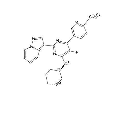 CCOC(=O)c1ccc(-c2nc(-c3cnn4ccccc34)nc(N[C@@H]3CCCNC3)c2F)cn1